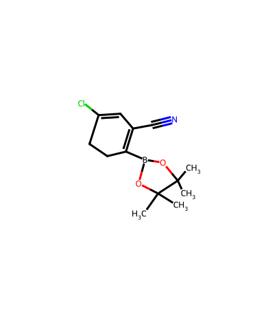 CC1(C)OB(C2=C(C#N)C=C(Cl)CC2)OC1(C)C